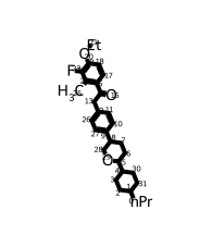 CCCC1CCC(C2CCC(c3ccc(CC(=O)c4ccc(OCC)c(F)c4C)cc3)CO2)CC1